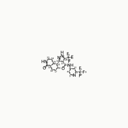 O=C(Nc1ccnc(C(F)(F)F)c1)c1c(-c2cccc3c(=O)[nH]ccc23)n[nH]c1C(F)(F)F